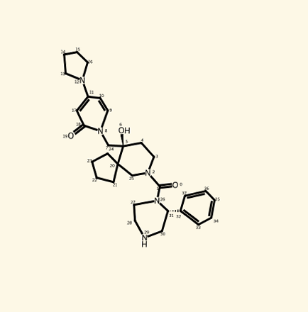 O=C(N1CC[C@@](O)(Cn2ccc(N3CCCC3)cc2=O)C2(CCCC2)C1)N1CCNC[C@H]1c1ccccc1